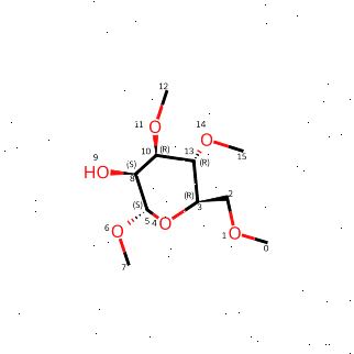 COC[C@H]1O[C@H](OC)[C@@H](O)[C@@H](OC)[C@@H]1OC